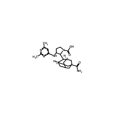 Cc1cc(NC2CCN(C(=O)O)C2C2[C@@H]3CC4C[C@H]2CC(C(N)=O)(C4)C3)nc(C)n1